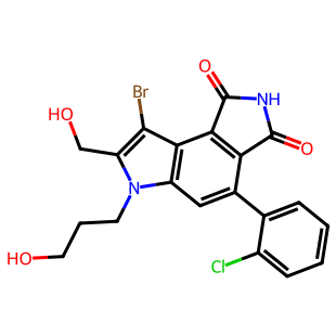 O=C1NC(=O)c2c1c(-c1ccccc1Cl)cc1c2c(Br)c(CO)n1CCCO